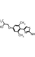 Cc1cc(OCC(C)O)cc(C)c1-c1csc(N)n1